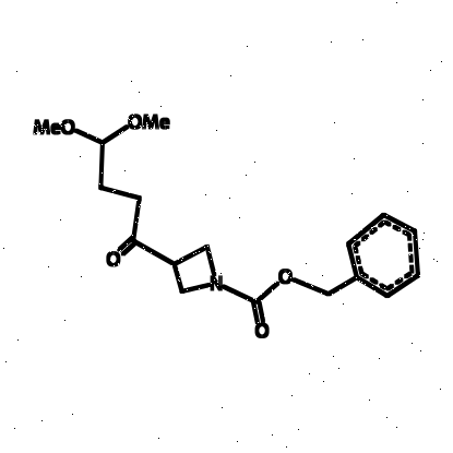 COC(CCC(=O)C1CN(C(=O)OCc2ccccc2)C1)OC